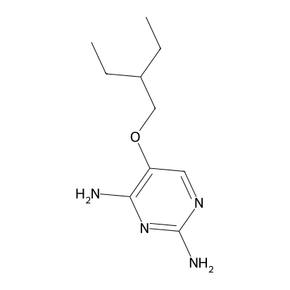 CCC(CC)COc1cnc(N)nc1N